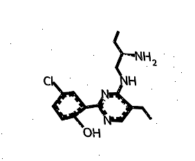 CCc1cnc(-c2cc(Cl)ccc2O)nc1NC[C@H](N)CC